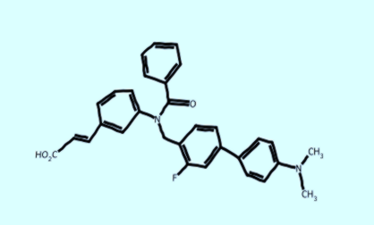 CN(C)c1ccc(-c2ccc(CN(C(=O)c3ccccc3)c3cccc(/C=C/C(=O)O)c3)c(F)c2)cc1